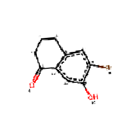 O=C1CCCc2cc(Br)c(O)cc21